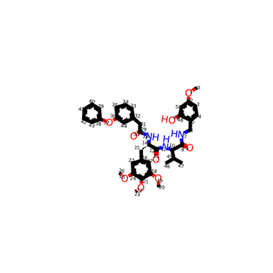 COc1ccc(CNC(=O)C(NC(=O)[C@H](Cc2cc(OC)c(OC)c(OC)c2)NC(=O)Cc2cccc(Oc3ccccc3)c2)C(C)C)c(O)c1